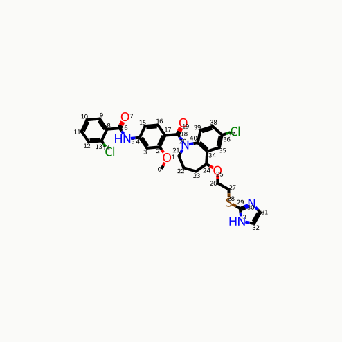 COc1cc(NC(=O)c2ccccc2Cl)ccc1C(=O)N1CCCC(OCCSc2ncc[nH]2)c2cc(Cl)ccc21